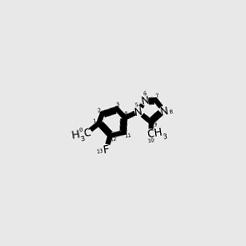 Cc1ccc(-n2ncnc2C)cc1F